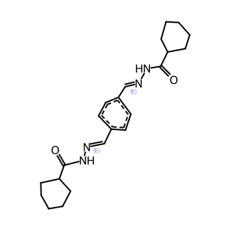 O=C(N/N=C/c1ccc(/C=N/NC(=O)C2CCCCC2)cc1)C1CCCCC1